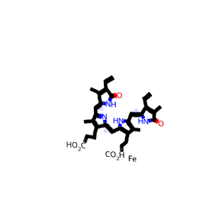 C=CC1=C(C)/C(=C/C2=NC(=C\c3[nH]c(/C=C4\NC(=O)C(C)=C4C=C)c(C)c3CCC(=O)O)/C(CCC(=O)O)=C2C)NC1=O.[Fe]